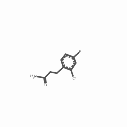 NC(=O)C[CH]c1ccc(F)cc1Cl